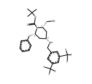 CC(C)(C)OC(=O)N1[C@H](CO)C[C@H](NCc2cc(C(F)(F)F)cc(C(F)(F)F)c2)C[C@@H]1Cc1ccccc1